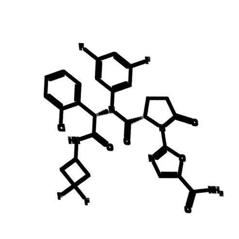 NC(=O)c1cnc(N2C(=O)CC[C@H]2C(=O)N(c2cc(F)cc(F)c2)[C@H](C(=O)NC2CC(F)(F)C2)c2ccccc2Cl)o1